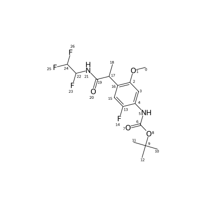 COc1cc(NC(=O)OC(C)(C)C)c(F)cc1C(C)C(=O)NC(F)C(F)F